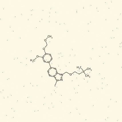 COCOc1ccc(-c2ccc3c(I)nn(COCC[Si](C)(C)C)c3c2)cc1OC